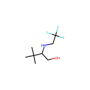 CC(C)(C)C(CO)NCC(F)(F)F